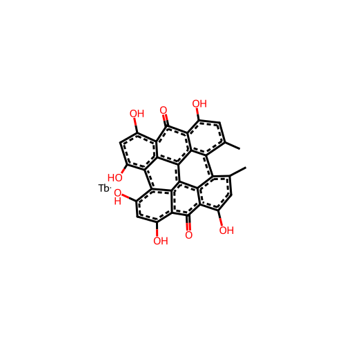 Cc1cc(O)c2c(=O)c3c(O)cc(O)c4c5c(O)cc(O)c6c(=O)c7c(O)cc(C)c8c1c2c(c34)c(c78)c65.[Tb]